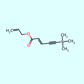 C=CCOC(=O)C=CC#C[Si](C)(C)C